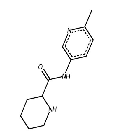 Cc1ccc(NC(=O)C2CCCCN2)cn1